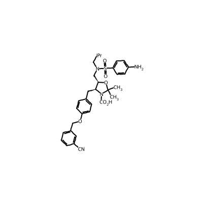 CC(C)CN(C[C@H]1OC(C)(C)N(C(=O)O)[C@H]1Cc1ccc(OCc2cccc(C#N)c2)cc1)S(=O)(=O)c1ccc(N)cc1